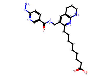 NNc1ccc(C(=O)NCc2cc3c(nc2CCCCCCCCC(=O)O)NCCC3)cn1